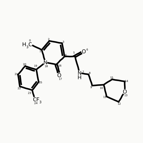 Cc1ccc(C(=O)NCCC2CCOCC2)c(=O)n1-c1cccc(C(F)(F)F)c1